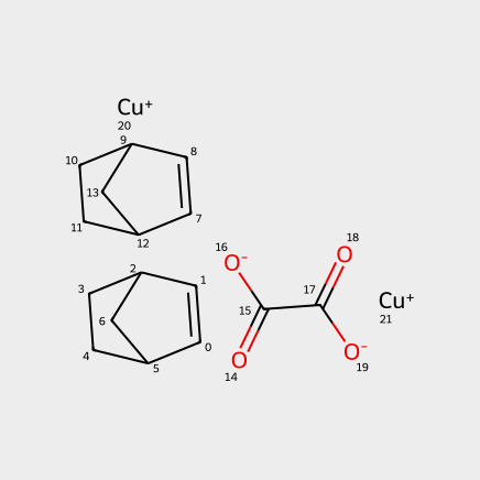 C1=CC2CCC1C2.C1=CC2CCC1C2.O=C([O-])C(=O)[O-].[Cu+].[Cu+]